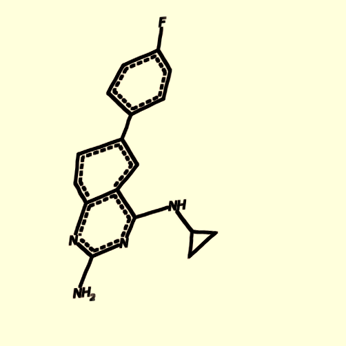 Nc1nc(NC2CC2)c2cc(-c3ccc(F)cc3)ccc2n1